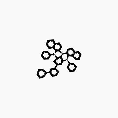 c1ccc(-c2cccc(-c3cc4c5c(c3)N(c3ccccc3)c3c(ccc6ccccc36)B5c3ccc5ccccc5c3N4c3ccccc3)c2)cc1